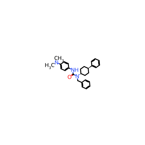 CN(C)c1ccc(NC(=O)N(Cc2ccccc2)[C@H]2CC[C@H](c3ccccc3)CC2)cc1